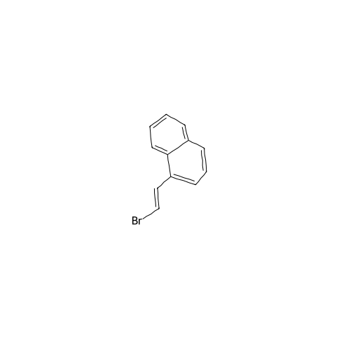 Br/C=C/c1cccc2ccccc12